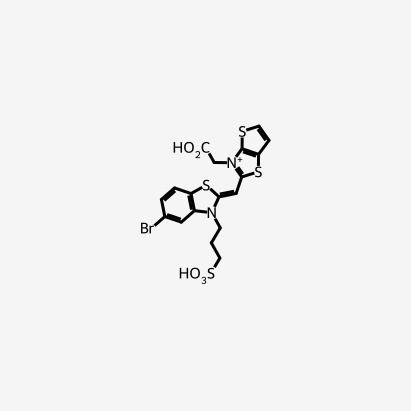 O=C(O)C[n+]1c(C=C2Sc3ccc(Br)cc3N2CCCS(=O)(=O)O)sc2ccsc21